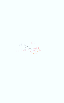 B[C@@H]1O[C@H](COP(B)(=O)OP(=O)(O)O)[C@@H](O)[C@H]1C